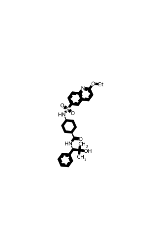 CCOc1ccc2cc(S(=O)(=O)N[C@H]3CC[C@H](C(=O)N[C@@H](c4ccccc4)C(C)(C)O)CC3)ccc2n1